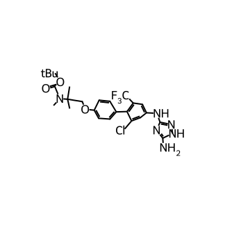 CN(C(=O)OC(C)(C)C)C(C)(C)COc1ccc(-c2c(Cl)cc(Nc3n[nH]c(N)n3)cc2C(F)(F)F)cc1